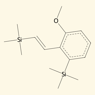 COc1cccc([Si](C)(C)C)c1C=C[Si](C)(C)C